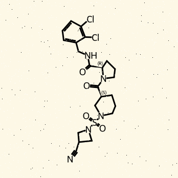 N#CC1CN(S(=O)(=O)N2CCC[C@H](C(=O)N3CCC[C@@H]3C(=O)NCc3cccc(Cl)c3Cl)C2)C1